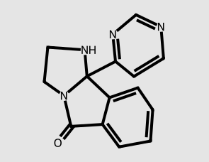 O=C1c2ccccc2C2(c3ccncn3)NCCN12